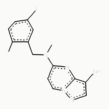 CN(Cc1cc(F)ccc1F)c1ccn2ncc(N)c2n1